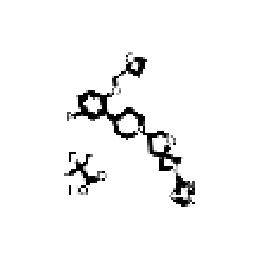 Fc1ccc(OC[C@@H]2CCO2)c(C2CCN([C@@H]3COC4(C3)CN(c3nncs3)C4)CC2)c1.O=C(O)C(F)(F)F